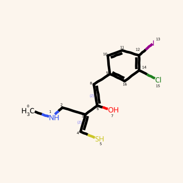 CNCC(=C/S)/C(O)=C/c1ccc(I)c(Cl)c1